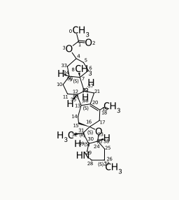 CC(=O)OC1CC[C@@]2(C)[C@H](CC[C@H]3[C@@H]4CC[C@@]5(CC(C)=C4C[C@@H]32)O[C@@H]2C[C@H](C)CN[C@H]2[C@H]5C)C1